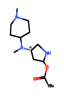 CN1CCC(N(C)[C@@H]2CNC(OC(=O)C(C)(C)C)C2)CC1